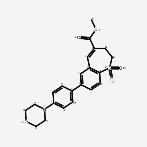 COC(=O)C1=Cc2cc(-c3ccc(N4CCOCC4)cc3)ccc2S(=O)(=O)CC1